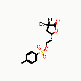 CCC1(CC)C[C@@H](CCOS(=O)(=O)c2ccc(C)cc2)OC1=O